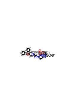 CC(C)(C)C(=O)OC[N+]12N=C(NCCCN3CCC(OC(c4ccccc4)c4ccccc4)CC3)C=CC1=NN(C(C)(C)C(=O)[O-])C2=O